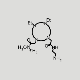 CCN1CCCN(CC(=O)NCCN)CCN(CC(=O)N(C)C)CCCN(CC)CC1